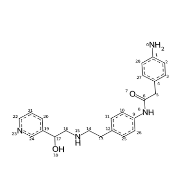 Nc1ccc(CC(=O)Nc2ccc(CCNCC(O)c3cccnc3)cc2)cc1